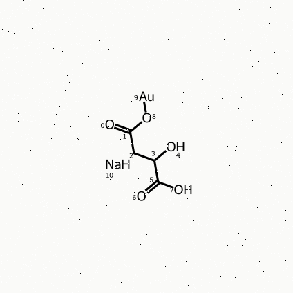 O=C(CC(O)C(=O)O)[O][Au].[NaH]